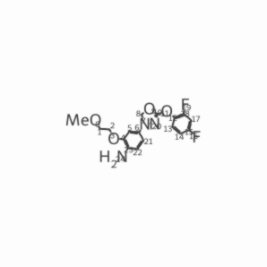 COCCOc1cc(N2COC(Oc3ccc(F)cc3F)=N2)ccc1N